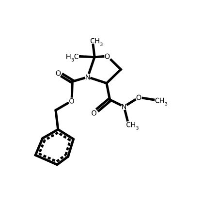 CON(C)C(=O)C1COC(C)(C)N1C(=O)OCc1ccccc1